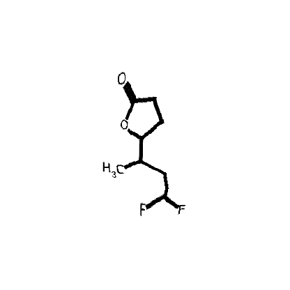 CC(CC(F)F)C1CCC(=O)O1